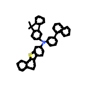 CC1(C)c2ccccc2-c2cc(N(c3cccc(-c4cccc5ccccc45)c3)c3ccc4c(c3)sc3c5ccccc5ccc43)ccc21